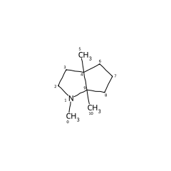 CN1CCC2(C)CCCC12C